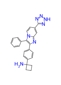 NC1(c2ccc(-c3nc4cc(-c5nn[nH]n5)ccn4c3-c3ccccc3)cc2)CCC1